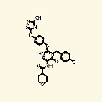 Cc1nsc(Oc2ccc(/N=c3\[nH]cc(NC(=O)C4CCOCC4)c(=O)n3Cc3ccc(Cl)cc3)cc2)n1